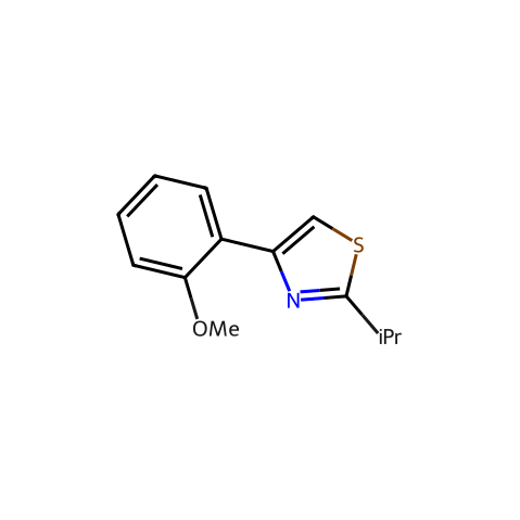 COc1ccccc1-c1csc(C(C)C)n1